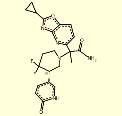 CC(C(N)=O)(c1ccc2oc(C3CC3)nc2n1)N1CCC(F)(F)[C@@H](c2ccc(=O)[nH]c2)C1